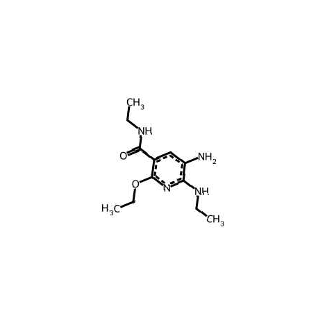 CCNC(=O)c1cc(N)c(NCC)nc1OCC